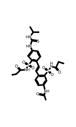 CCC(=O)NS(=O)(=O)c1cc(NC(C)=O)ccc1/C=C/c1ccc(NC(=S)NC(C)C)cc1S(=O)(=O)NC(=O)CC